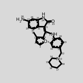 Cc1ccoc1/C(Nc1ccc(CN2CCCCC2)cc1)=C1/C(=O)Nc2cc(N)ccc21